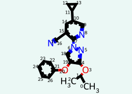 CC(C)Oc1nn(-c2ncc(C3CC3)cc2C#N)cc1Oc1ccccc1